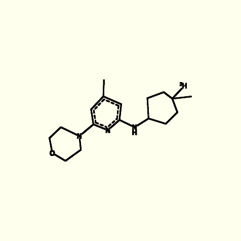 [2H]C1(C)CCC(Nc2cc(I)cc(N3CCOCC3)n2)CC1